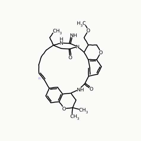 CCC12CCC/C=C/c3ccc4c(c3)C(CC(C)(C)O4)NC(=O)c3ccc4c(c3)C(C(COC)CO4)N(C(=N)N1)C(=O)C2